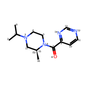 CC(C)N1CCN(C(=O)c2ccncn2)[C@@H](C)C1